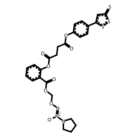 O=C(CCC(=O)Oc1ccccc1C(=O)OCO/N=[N+](\[O-])N1CCCC1)Oc1ccc(-c2cc(=S)ss2)cc1